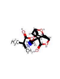 C=C(C)C(=O)Oc1c2oc3c1OC(=O)C3(C#N)C2